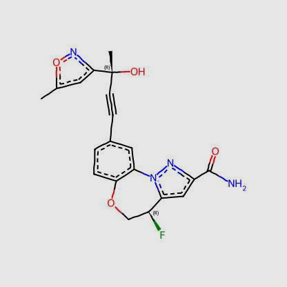 Cc1cc([C@](C)(O)C#Cc2ccc3c(c2)-n2nc(C(N)=O)cc2[C@@H](F)CO3)no1